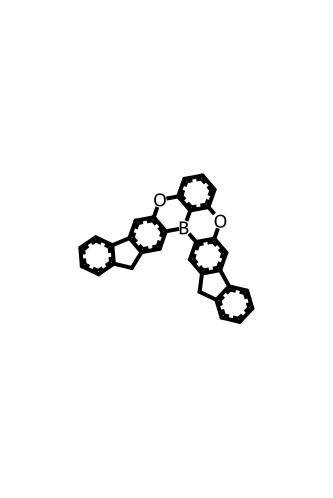 c1ccc2c(c1)Cc1cc3c(cc1-2)Oc1cccc2c1B3c1cc3c(cc1O2)-c1ccccc1C3